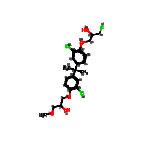 COCC(O)COc1ccc(C(C)(C)c2ccc(OCC(O)CCl)c(Cl)c2)cc1Cl